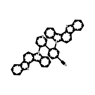 N#Cc1ccc(-c2cnccc2-n2c3ccccc3c3c4sc5ccccc5c4ccc32)c(-n2c3ccccc3c3c4sc5ccccc5c4ccc32)c1